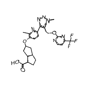 Cc1nc(-c2nnn(C)c2COc2nccc(C(F)(F)F)n2)ccc1OC1CC2CCC(C(=O)O)C2C1